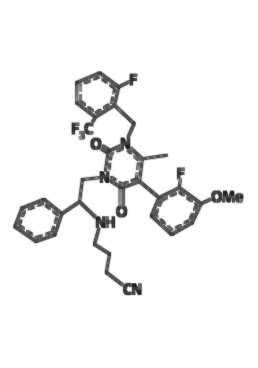 COc1cccc(-c2c(C)n(Cc3c(F)cccc3C(F)(F)F)c(=O)n(CC(NCCCC#N)c3ccccc3)c2=O)c1F